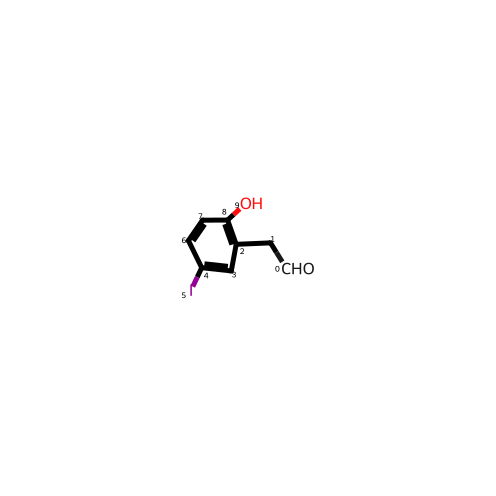 O=CCc1cc(I)ccc1O